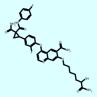 NC(=O)c1cc2c(Oc3ccc(C4CC4(C(N)=O)C(=O)Nc4ccc(F)cc4)cc3F)ccnc2cc1OCCCCCC(S)C(N)=O